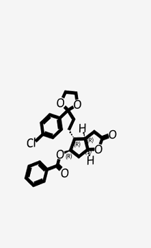 O=C1C[C@@H]2[C@@H](CCC3(c4ccc(Cl)cc4)OCCO3)[C@H](OC(=O)c3ccccc3)C[C@@H]2O1